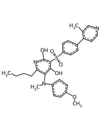 CCCCc1nc(O)c(S(=O)(=O)c2ccc(-c3ccncc3C)cc2)c(O)c1N(C)c1ccc(OC)cc1